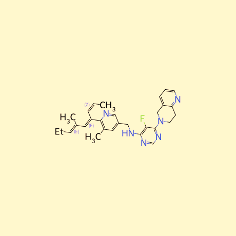 C\C=C/C(=C\C(C)=C\CC)c1ncc(CNc2ncnc(N3CCc4ncccc4C3)c2F)cc1C